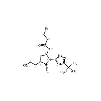 CC(C)(C)c1nnc(N2C(=O)N(CCCl)CC2OC(=O)CCCl)s1